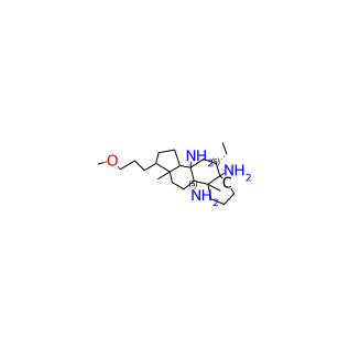 CC[C@H]1CC2(N)C3CCC(CCCOC)C3(C)CC[C@]2(N)C2(C)CCCCC12N